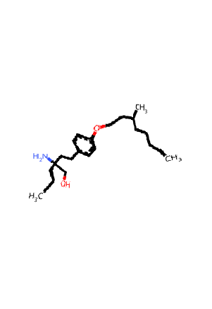 CCCCCC(C)CCOc1ccc(CCC(N)(CO)CCC)cc1